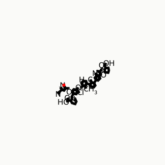 Cc1c(COc2cc(OCc3cncc(C#N)c3)c(CN3CCCCC3C(=O)O)cc2Cl)cccc1-c1cccc(-c2ccn3c(=O)c(CN4CCCCC4C(=O)O)cnc3c2)c1C